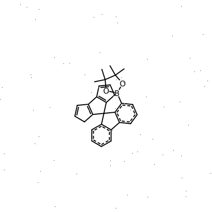 CC1(C)OB(c2cccc3c2C2(C4=C(C=CC4)C4=C2CC=C4)c2ccccc2-3)OC1(C)C